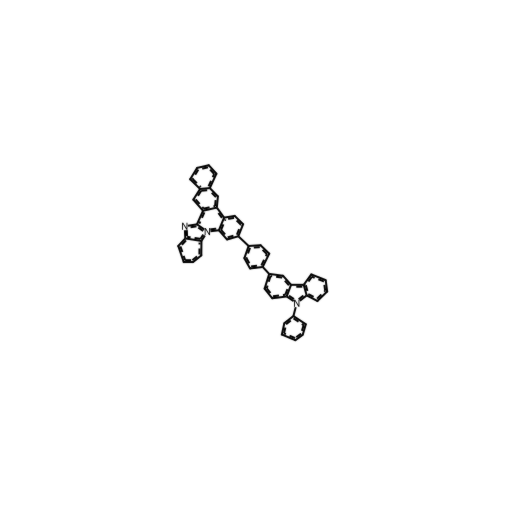 c1ccc(-n2c3ccccc3c3cc(-c4ccc(-c5ccc6c7cc8ccccc8cc7c7nc8ccccc8n7c6c5)cc4)ccc32)cc1